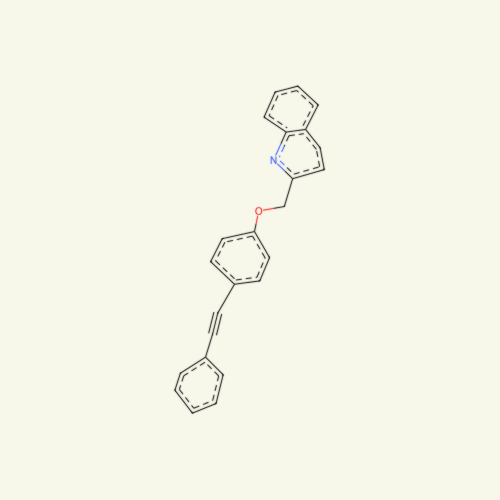 C(#Cc1ccc(OCc2ccc3ccccc3n2)cc1)c1ccccc1